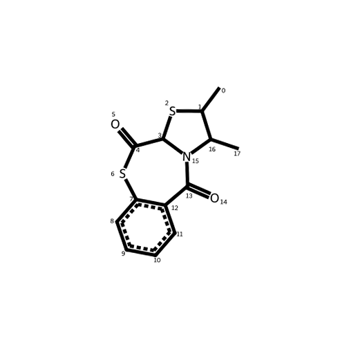 CC1SC2C(=O)Sc3ccccc3C(=O)N2C1C